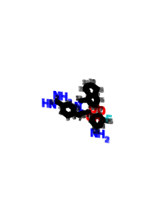 N=C(N)c1ccc2cc(C(=O)O)n(Cc3cc(Oc4ccc(N)cc4F)cc4ccccc34)c2c1